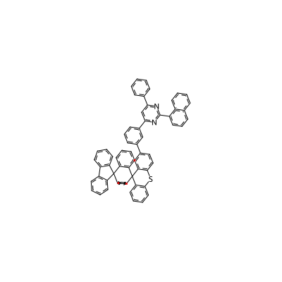 c1ccc(-c2cc(-c3cccc(-c4ccc5c(c4)C4(c6ccccc6S5)c5ccccc5C5(c6ccccc6-c6ccccc65)c5ccccc54)c3)nc(-c3cccc4ccccc34)n2)cc1